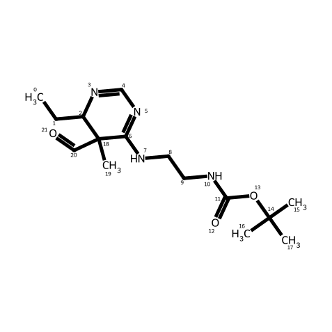 CCC1N=CN=C(NCCNC(=O)OC(C)(C)C)C1(C)C=O